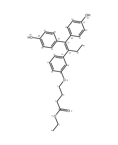 CCOC(=O)CCCOc1cccc(C(CC)=C(c2ccc(O)cc2)c2ccc(O)cc2)c1